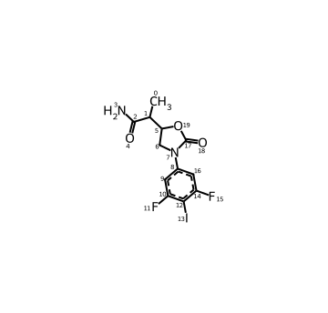 CC(C(N)=O)C1CN(c2cc(F)c(I)c(F)c2)C(=O)O1